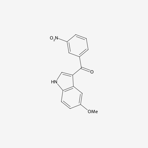 COc1ccc2[nH]cc(C(=O)c3cccc([N+](=O)[O-])c3)c2c1